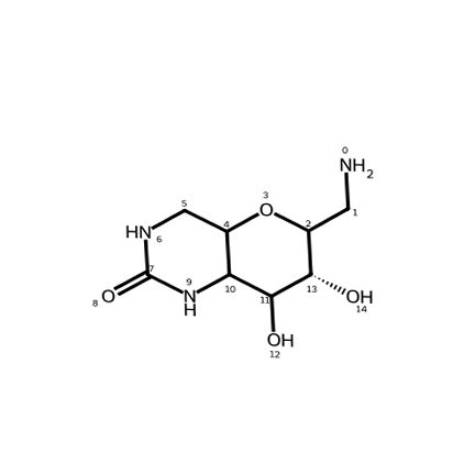 NCC1OC2CNC(=O)NC2C(O)[C@H]1O